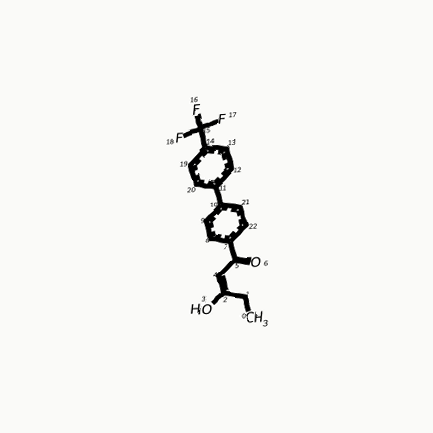 CC/C(O)=C\C(=O)c1ccc(-c2ccc(C(F)(F)F)cc2)cc1